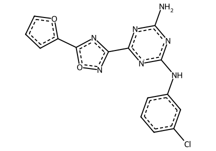 Nc1nc(Nc2cccc(Cl)c2)nc(-c2noc(-c3ccco3)n2)n1